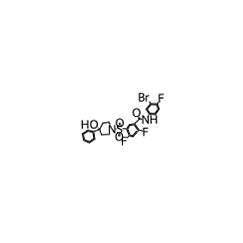 O=C(Nc1ccc(F)c(Br)c1)c1cc(S(=O)(=O)N2CCC(O)(c3ccccc3)CC2)c(F)cc1F